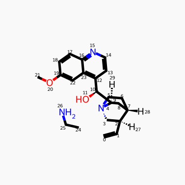 C=C[C@H]1C[N@]2CC[C@H]1C[C@@H]2[C@@H](O)c1ccnc2ccc(OC)cc12.CCN